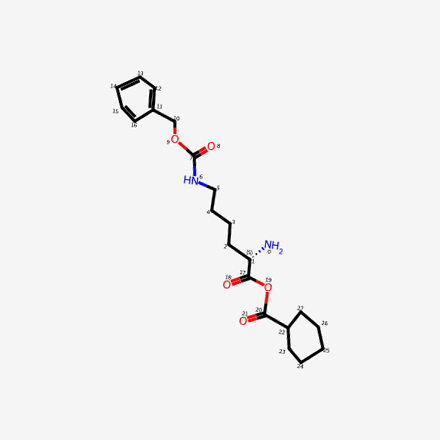 N[C@@H](CCCCNC(=O)OCc1ccccc1)C(=O)OC(=O)C1CCCCC1